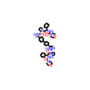 C[C@@H](NC(=O)[C@@H]1CCCN1C(=O)[C@H](NC(=O)N1CCOCC1)c1ccccc1)c1ccc(-c2ccc(-c3cnc([C@@H]4CCCN4C(=O)[C@H](NC(=O)N4CCOCC4)c4ccccc4)[nH]3)cc2)cc1